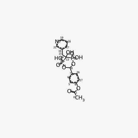 CC(=O)Oc1ccc(C2OP(=O)(O)C(O)(Cc3cccnc3)P(=O)(O)O2)cc1